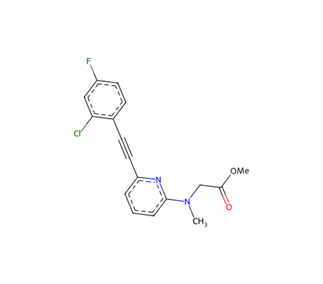 COC(=O)CN(C)c1cccc(C#Cc2ccc(F)cc2Cl)n1